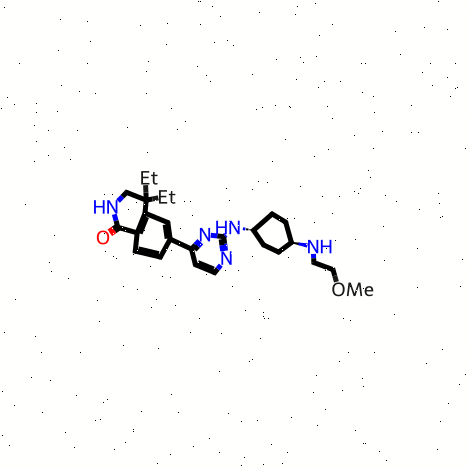 CCC1(CC)CNC(=O)c2ccc(-c3ccnc(N[C@H]4CC[C@H](NCCOC)CC4)n3)cc21